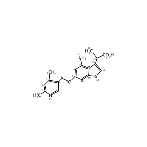 Cc1cc(C)c(COc2cc(C)c3c(C(C)C(=O)O)csc3c2)cn1